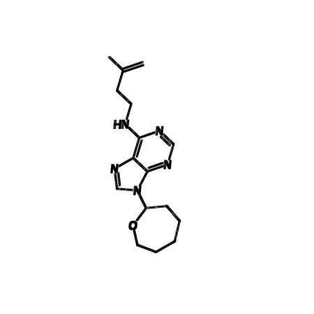 C=C(C)CCNc1ncnc2c1ncn2C1CCCCCO1